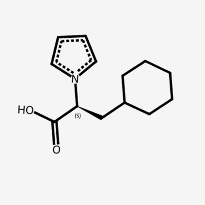 O=C(O)[C@H](CC1CCCCC1)n1cccc1